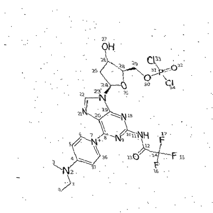 CCN(C)c1cc[n+](-c2nc(NC(=O)C(F)(F)F)nc3c2ncn3[C@H]2CC(O)[C@@H](COP(=O)(Cl)Cl)O2)cc1